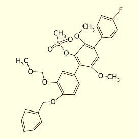 COCOc1cc(-c2c(OC)cc(-c3ccc(F)cc3)c(OC)c2OS(C)(=O)=O)ccc1OCc1ccccc1